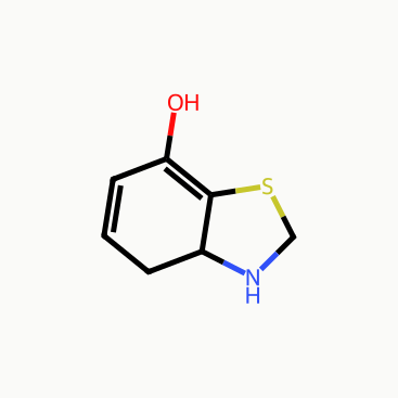 OC1=C2SCNC2CC=C1